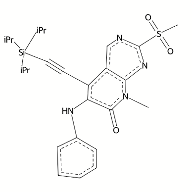 CC(C)[Si](C#Cc1c(Nc2ccccc2)c(=O)n(C)c2nc(S(C)(=O)=O)ncc12)(C(C)C)C(C)C